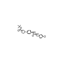 CC(C)(C)OC(=O)N1CCC(c2ccc(NC(=O)NCc3ccc(Cl)cc3)cc2)C1